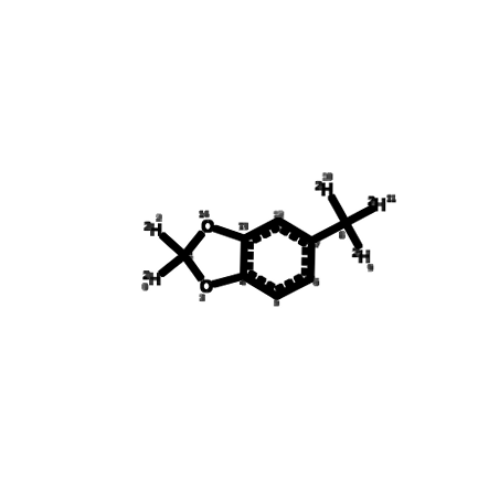 [2H]C1([2H])Oc2ccc(C([2H])([2H])[2H])cc2O1